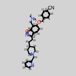 CN(C)Cc1c(OCc2ccc(C#N)cc2)ccc2c(CCC3CCN(Cc4ccccn4)CC3)noc12